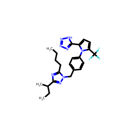 CCCCc1nc(C(C)CC)nn1Cc1ccc(-n2c(-c3nnn[nH]3)ccc2C(F)(F)F)cc1